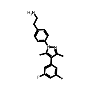 Cc1nn(-c2ccc(CCN)cc2)c(C)c1-c1cc(F)cc(F)c1